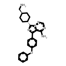 NC[C@H]1CC[C@H](c2nc(-c3ccc(Oc4ccccc4)cc3)c3c(N)ncnn32)CC1